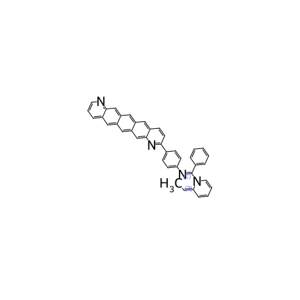 C/C=C1/C=CC=CN1/C(=N/c1ccc(-c2ccc3cc4cc5cc6ncccc6cc5cc4cc3n2)cc1)c1ccccc1